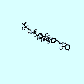 CC(C)C(=O)OCCNC(=O)Oc1ccc(C(=O)NS(=O)(=O)c2ccc(CCNC(=O)C3CCCCC3)cc2)cn1